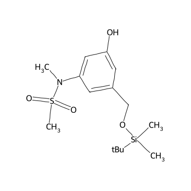 CN(c1cc(O)cc(CO[Si](C)(C)C(C)(C)C)c1)S(C)(=O)=O